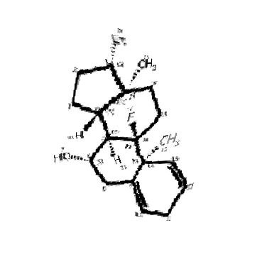 CC[C@H]1CC[C@H]2[C@@H]3[C@@H](O)CC4=CCC=C[C@]4(C)[C@@]3(F)CC[C@]12C